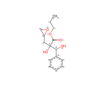 CCCOC(=O)C(O)(CC1CO1)C(O)c1ccccc1